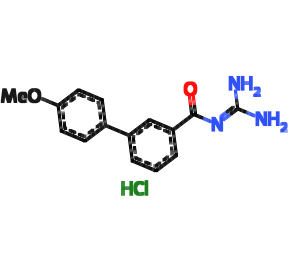 COc1ccc(-c2cccc(C(=O)N=C(N)N)c2)cc1.Cl